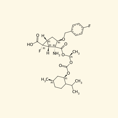 CC(C)C1CC[C@@H](C)C[C@H]1OC(=O)O[C@H](C)OC(=O)[C@@]1(N)[C@H]2[C@@H](C[C@H]1OCc1ccc(F)cc1)[C@]2(F)C(=O)O